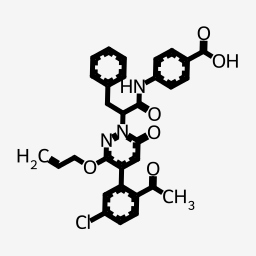 C=CCOc1nn(C(Cc2ccccc2)C(=O)Nc2ccc(C(=O)O)cc2)c(=O)cc1-c1cc(Cl)ccc1C(C)=O